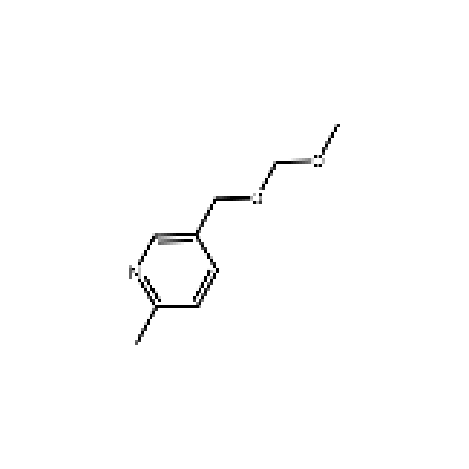 COCOCc1ccc(C)nc1